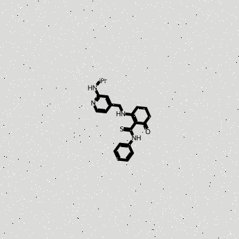 CC(C)Nc1cc(CNC2=C(C(=S)Nc3ccccc3)C(=O)CCC2)ccn1